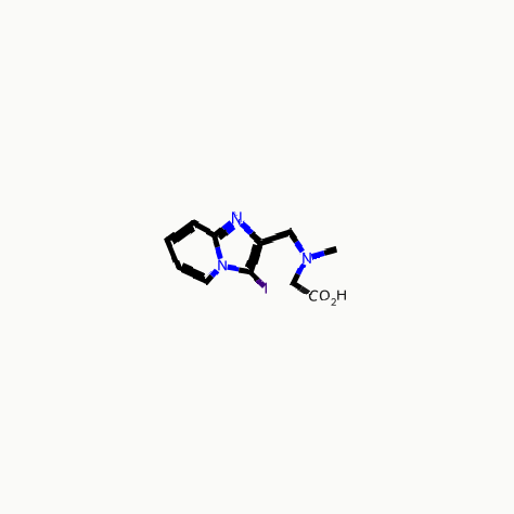 CN(CC(=O)O)Cc1nc2ccccn2c1I